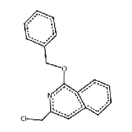 ClCc1cc2ccccc2c(OCc2ccccc2)n1